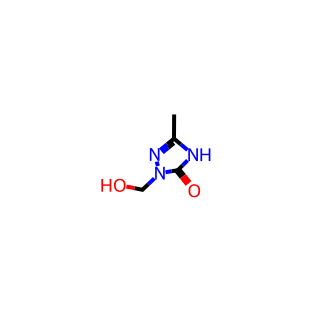 Cc1nn(CO)c(=O)[nH]1